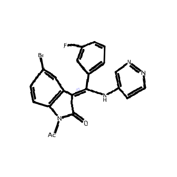 CC(=O)N1C(=O)/C(=C(\Nc2ccnnc2)c2cccc(F)c2)c2cc(Br)ccc21